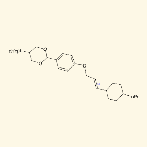 CCCCCCCC1COC(c2ccc(OC/C=C/C3CCC(CCC)CC3)cc2)OC1